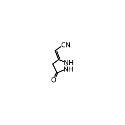 N#CC=C1CC(=O)NN1